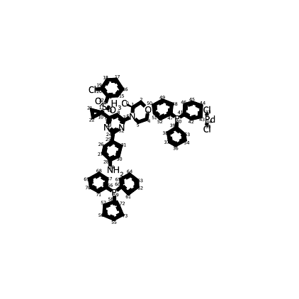 C[C@H]1COCCN1c1cc(C2(S(=O)(=O)c3ccccc3Cl)CC2)nc(-c2ccc(N)cc2)n1.[Cl][Pd][Cl].c1ccc(P(c2ccccc2)c2ccccc2)cc1.c1ccc(P(c2ccccc2)c2ccccc2)cc1